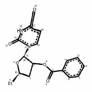 CC[C@@H]1CC(OC(=O)c2ccccc2)[C@H](n2ccc(=O)[nH]c2=O)O1